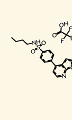 CCCCNS(=O)(=O)c1ccc(-c2ccnc3[nH]c(C)cc23)cc1.O=C(O)C(F)(F)F